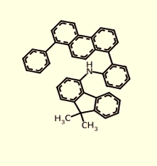 CC1(C)c2ccccc2-c2c(Nc3ccccc3-c3cccc4c3ccc3c(-c5ccccc5)cccc34)cccc21